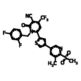 Cc1cc(-c2csc(-c3cc(C(F)(F)F)c(C#N)c(=O)n3Cc3ccc(F)cc3F)c2)cnc1S(C)(=O)=O